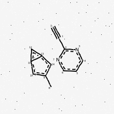 C#Cc1ncccn1.Cc1cc2cc-2c1